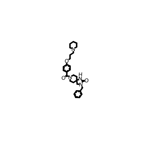 O=C1NC2(CCN(C(=O)c3ccc(OCCCN4CCCCC4)cc3)CC2)CN1Cc1ccccc1